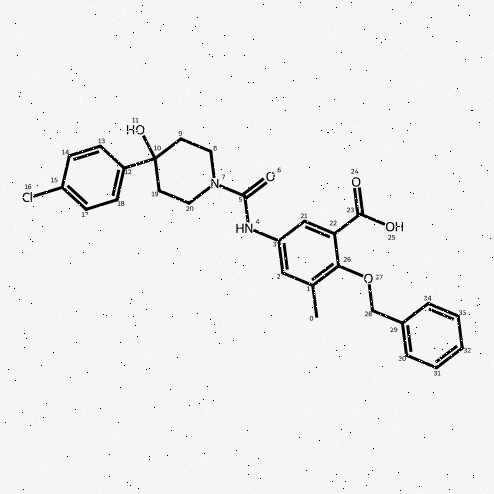 Cc1cc(NC(=O)N2CCC(O)(c3ccc(Cl)cc3)CC2)cc(C(=O)O)c1OCc1ccccc1